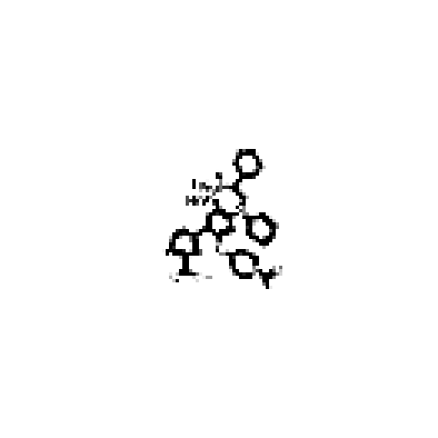 CC(=O)N1CCC(Oc2cc3c(cc2-c2ccc(F)c(C(=O)O)c2)S(O)(O)N(C)C(C2CCCCC2)CN3c2ccccc2)CC1